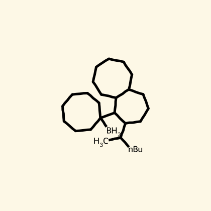 BC1(C2C(C(C)CCCC)CCCC3CCCCCCC32)CCCCCCC1